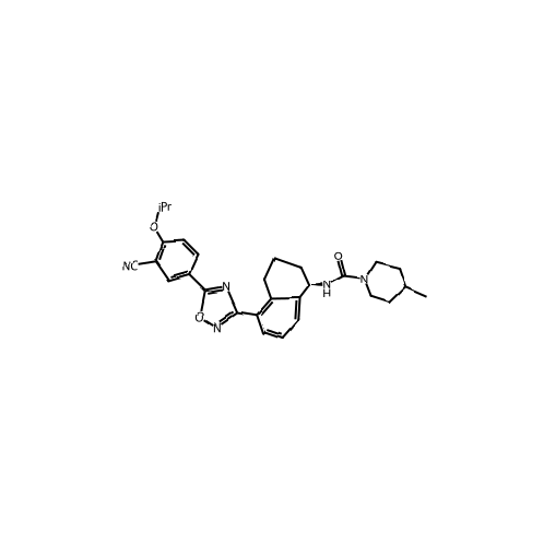 CC1CCN(C(=O)N[C@@H]2CCCc3c(-c4noc(-c5ccc(OC(C)C)c(C#N)c5)n4)cccc32)CC1